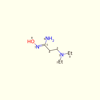 CCN(CC)CC/C(N)=N/O